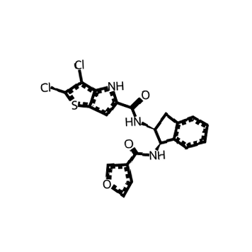 O=C(N[C@@H]1c2ccccc2C[C@@H]1NC(=O)c1cc2sc(Cl)c(Cl)c2[nH]1)c1ccoc1